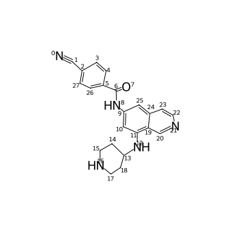 N#Cc1ccc(C(=O)Nc2cc(NC3CCNCC3)c3cnccc3c2)cc1